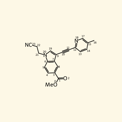 COC(=O)c1ccc2c(c1)c(C#Cc1ccc(C)cn1)cn2CCC#N